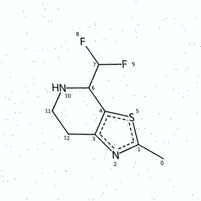 Cc1nc2c(s1)C(C(F)F)NCC2